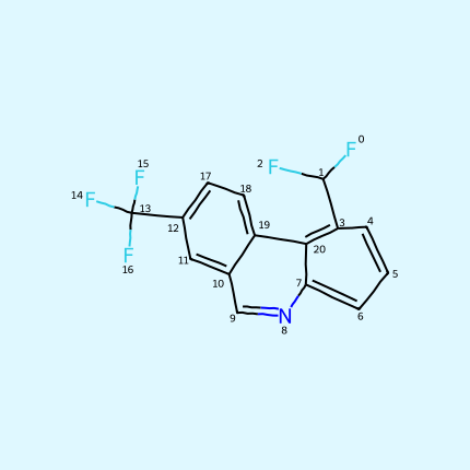 FC(F)c1cccc2ncc3cc(C(F)(F)F)ccc3c12